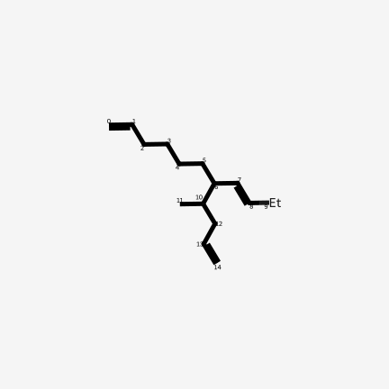 C=CCCCCC(C=CCC)C(C)CC=C